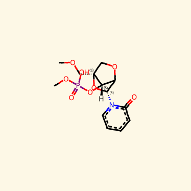 COC[C@@]12COC([C@H](n3ccccc3=O)O1)[C@@H]2OP(=O)(O)OC